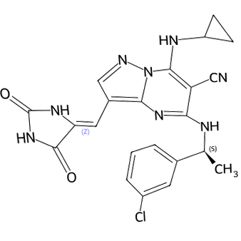 C[C@H](Nc1nc2c(/C=C3\NC(=O)NC3=O)cnn2c(NC2CC2)c1C#N)c1cccc(Cl)c1